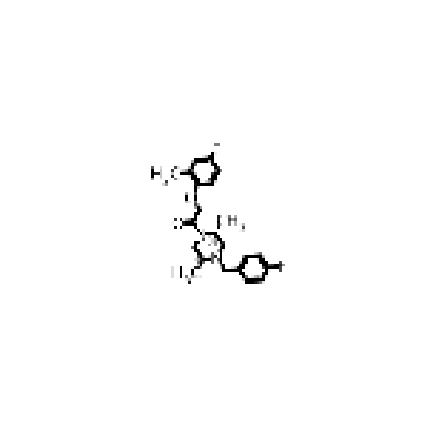 Cc1cc(F)ccc1OCC(=O)N1C[C@H](C)N(Cc2ccc(F)cc2)C[C@H]1C